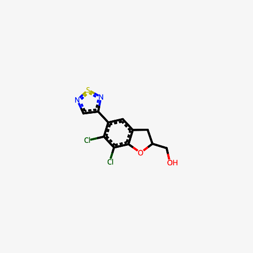 OCC1Cc2cc(-c3cnsn3)c(Cl)c(Cl)c2O1